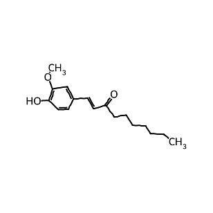 CCCCCCCC(=O)/C=C/c1ccc(O)c(OC)c1